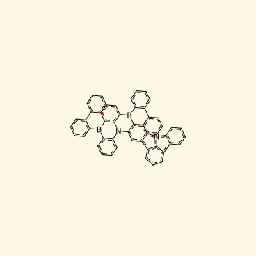 c1ccc(-c2ccccc2B2c3ccccc3N3c4cc5c6cccc7c8ccccc8n(c5cc4B(c4ccccc4-c4ccccc4)c4cccc2c43)c76)cc1